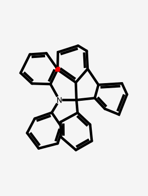 c1ccc(N(c2ccccc2)C2(c3ccccc3)c3ccccc3-c3ccccc32)cc1